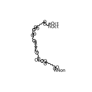 CCCCCCCCCOC(=O)CCCCCCCC(=O)Oc1ccc(CC(=O)OCCC2CCN(CCSSCCN3CCC(CCOC(=O)Cc4ccc(OC(=O)CCCCCC(=O)OCCC(CCCCCCCC)CCCCCCCC)cc4)CC3)CC2)cc1